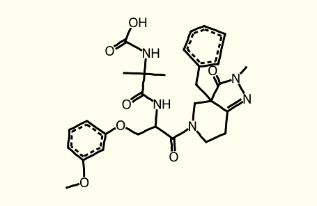 COc1cccc(OCC(NC(=O)C(C)(C)NC(=O)O)C(=O)N2CCC3=NN(C)C(=O)C3(Cc3ccccc3)C2)c1